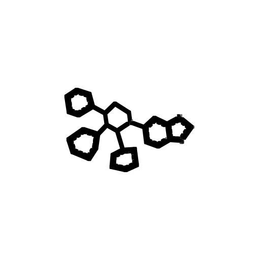 [c]1nc2cc(N3CCC(c4ccccc4)C(c4ccccc4)C3c3ccccc3)ccc2s1